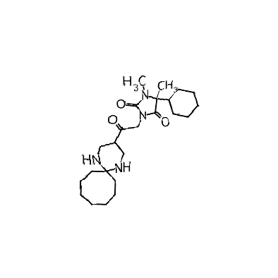 CN1C(=O)N(CC(=O)C2CNC3(CCCCCCC3)NC2)C(=O)C1(C)C1CCCCC1